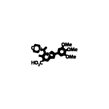 COc1cc(-c2cc3cc(C(=O)O)c(C)c(C(C)N4CCOCC4)n3c2)cc(OC)c1OC